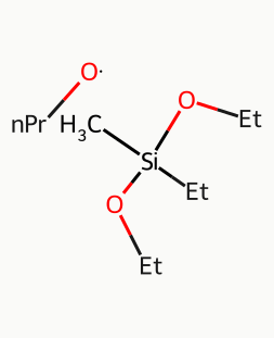 CCC[O].CCO[Si](C)(CC)OCC